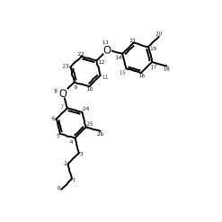 CCCCc1ccc(Oc2ccc(Oc3ccc(C)c(C)c3)cc2)cc1C